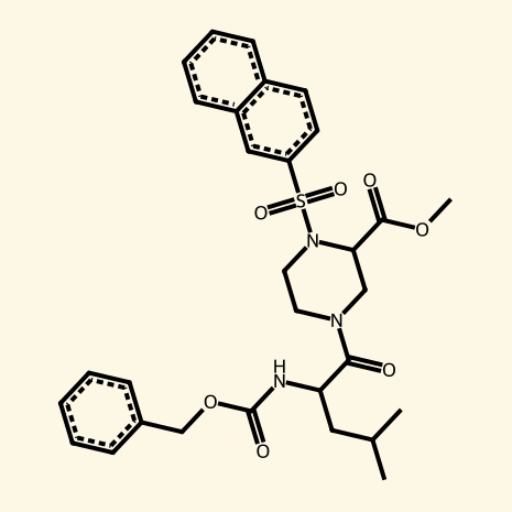 COC(=O)C1CN(C(=O)C(CC(C)C)NC(=O)OCc2ccccc2)CCN1S(=O)(=O)c1ccc2ccccc2c1